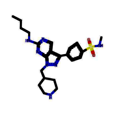 CCCCNc1ncc2c(-c3ccc(S(=O)(=O)NC)cc3)nn(CC3CCNCC3)c2n1